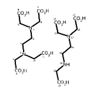 O=C(O)CN(CCN(CC(=O)O)CC(=O)O)CC(=O)O.O=C(O)CNCCN(CC(=O)O)CC(=O)O